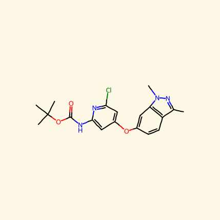 Cc1nn(C)c2cc(Oc3cc(Cl)nc(NC(=O)OC(C)(C)C)c3)ccc12